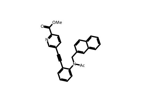 COC(=O)c1ccc(C#Cc2ccccc2N(Cc2ccc3ccccc3c2)C(C)=O)cn1